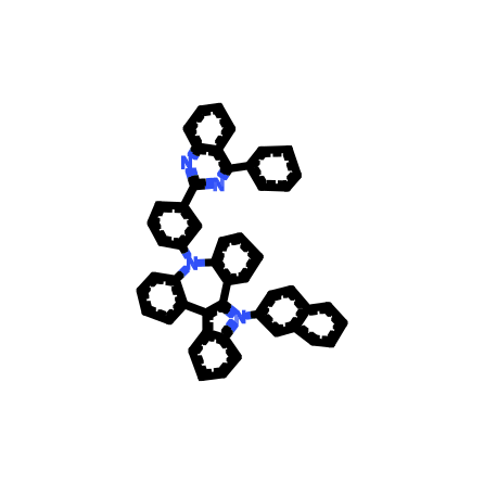 c1ccc(-c2nc(-c3cccc(N4c5ccccc5-c5c(n(-c6ccc7ccccc7c6)c6ccccc56)-c5ccccc54)c3)nc3ccccc23)cc1